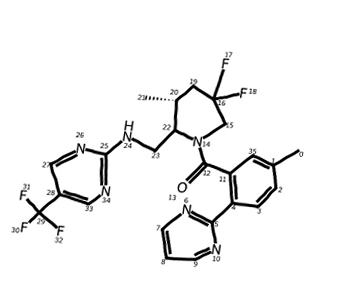 Cc1ccc(-c2ncccn2)c(C(=O)N2CC(F)(F)C[C@@H](C)C2CNc2ncc(C(F)(F)F)cn2)c1